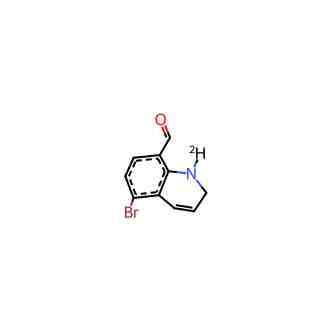 [2H]N1CC=Cc2c(Br)ccc(C=O)c21